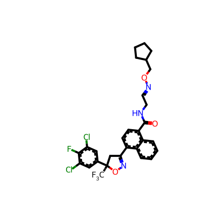 O=C(NCC=NOCC1CCCC1)c1ccc(C2=NOC(c3cc(Cl)c(F)c(Cl)c3)(C(F)(F)F)C2)c2ccccc12